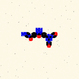 O=C(Nc1ccc(C(=O)N2CCNCC2)cc1)Nc1ccc(-c2nc(N3CCOCC3)nc(N3CCOCC3)n2)cc1